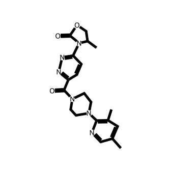 Cc1cnc(N2CCN(C(=O)c3ccc(N4C(=O)OCC4C)nn3)CC2)c(C)c1